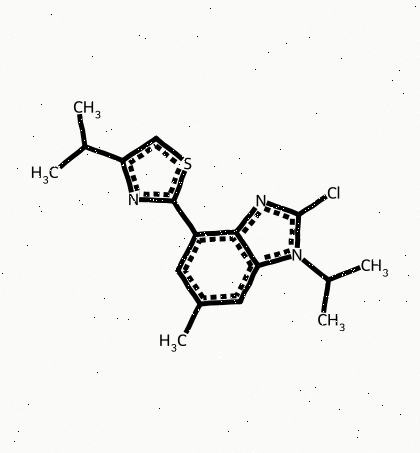 Cc1cc(-c2nc(C(C)C)cs2)c2nc(Cl)n(C(C)C)c2c1